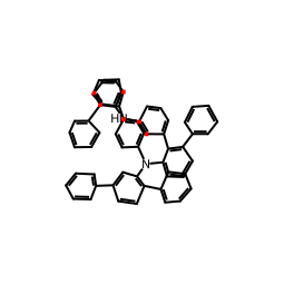 c1ccc(-c2ccc(N(c3cc(-c4ccccc4)ccc3-c3ccccc3)c3cccc(-c4ccccc4)c3-c3cccc(Nc4ccccc4-c4ccccc4)c3)cc2)cc1